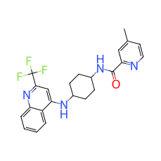 Cc1ccnc(C(=O)NC2CCC(Nc3cc(C(F)(F)F)nc4ccccc34)CC2)c1